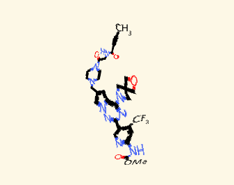 CC#CC(=O)NCC(=O)N1CCN(Cc2cc3c(N4CC5(COC5)C4)nc(-c4cnc(NC(=O)OC)cc4C(F)(F)F)nn3c2)CC1